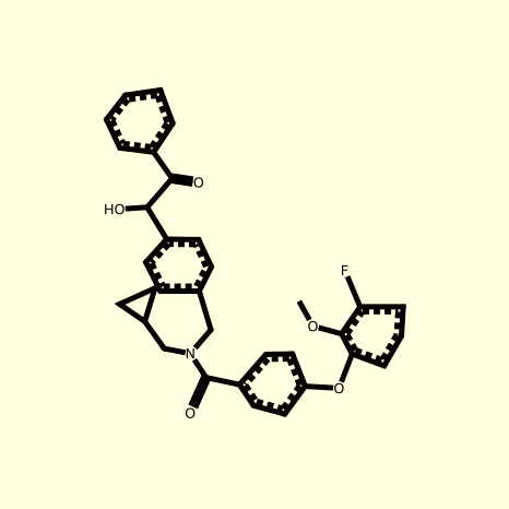 COc1c(F)cccc1Oc1ccc(C(=O)N(Cc2ccc(C(O)C(=O)c3ccccc3)cc2)CC2CC2)cc1